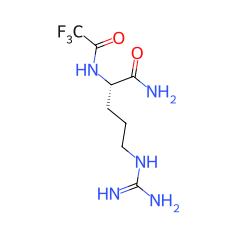 N=C(N)NCCC[C@H](NC(=O)C(F)(F)F)C(N)=O